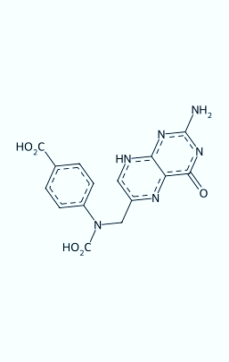 Nc1nc2[nH]cc(CN(C(=O)O)c3ccc(C(=O)O)cc3)nc-2c(=O)n1